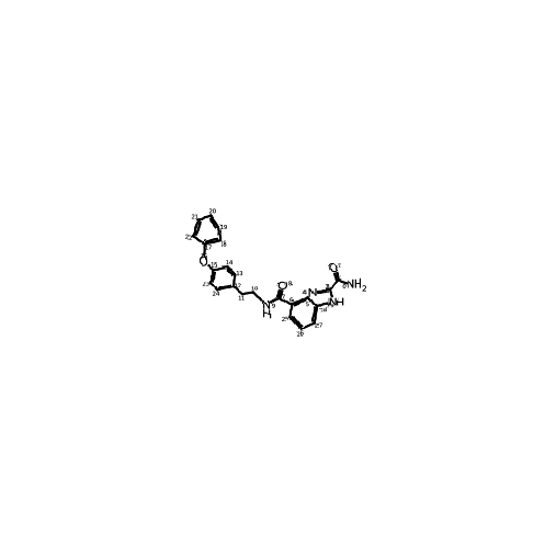 NC(=O)c1nc2c(C(=O)NCCc3ccc(Oc4ccccc4)cc3)cccc2[nH]1